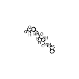 O=C1COc2ccc(CNC(=O)c3ncnc4c(C(=O)NCc5csc6ccccc56)c[nH]c34)cc2N1